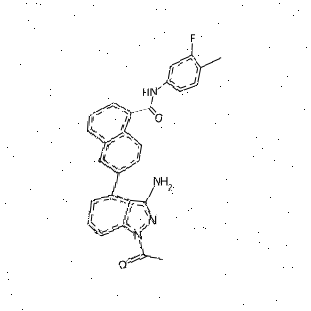 CC(=O)n1nc(N)c2c(-c3ccc4c(C(=O)Nc5ccc(C)c(F)c5)cccc4c3)cccc21